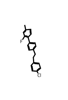 Cc1ccc(-c2ccc(CCc3ccc(Cl)cc3)cc2)c(F)c1